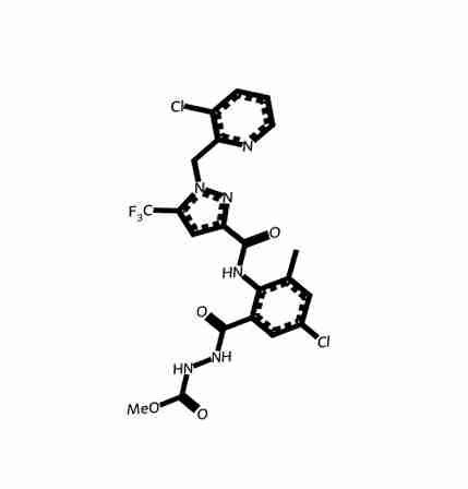 COC(=O)NNC(=O)c1cc(Cl)cc(C)c1NC(=O)c1cc(C(F)(F)F)n(Cc2ncccc2Cl)n1